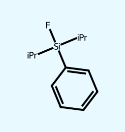 CC(C)[Si](F)(c1ccccc1)C(C)C